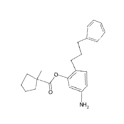 CC1(C(=O)Oc2cc(N)ccc2CCCc2ccccc2)CCCC1